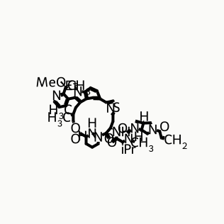 C=CC(=O)N1C[C@@H]2CN(C(=O)N(C)[C@H](C(=O)N[C@H]3Cc4nc(cs4)-c4ccc5c(c4)c(c(-c4cccnc4[C@H](C)OC)n5CC)CC(C)(C)COC(=O)[C@@H]4CCCN(N4)C3=O)C(C)C)[C@@H]2C1